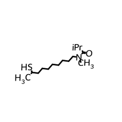 CC(S)CCCCCCCCN(C)C(=O)C(C)C